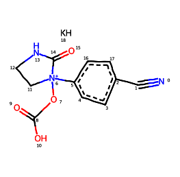 N#Cc1ccc([N+]2(OC(=O)O)CCNC2=O)cc1.[KH]